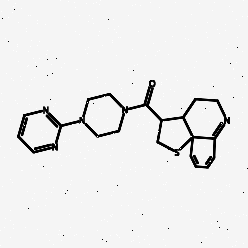 O=C(C1CSC23C=CC=CC2=NCCC13)N1CCN(c2ncccn2)CC1